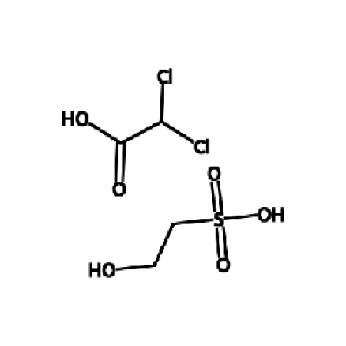 O=C(O)C(Cl)Cl.O=S(=O)(O)CCO